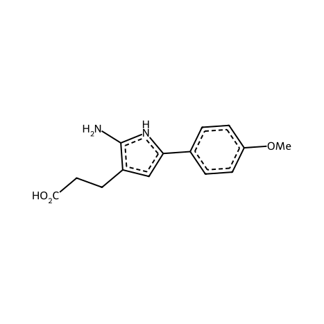 COc1ccc(-c2cc(CCC(=O)O)c(N)[nH]2)cc1